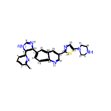 Cc1cccc(-c2[nH]cnc2-c2ccc3ncc(-c4ncc(N5CCNCC5)s4)cc3c2)n1